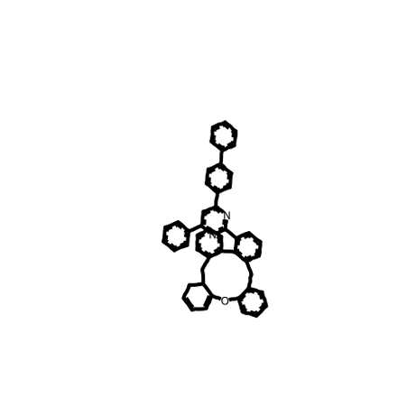 C1=CCC2Cc3ccccc3-c3c(cccc3-c3nc(-c4ccccc4)cc(-c4ccc(-c5ccccc5)cc4)n3)Cc3ccccc3OC2=C1